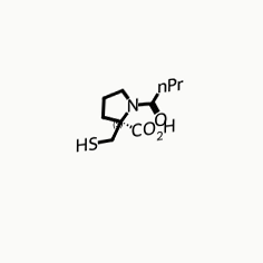 CCCC(=O)N1CCC[C@@]1(CS)C(=O)O